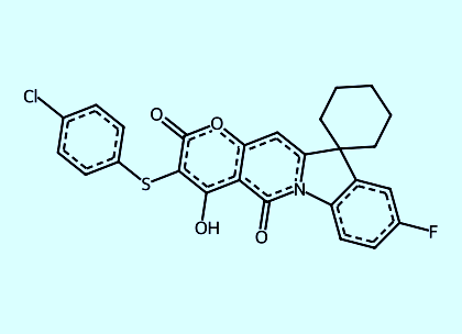 O=c1oc2cc3n(c(=O)c2c(O)c1Sc1ccc(Cl)cc1)-c1ccc(F)cc1C31CCCCC1